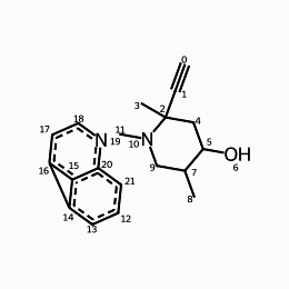 C#CC1(C)CC(O)C(C)CN1C.c1cc2c3c-2ccnc3c1